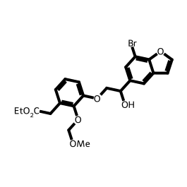 CCOC(=O)Cc1cccc(OCC(O)c2cc(Br)c3occc3c2)c1OCOC